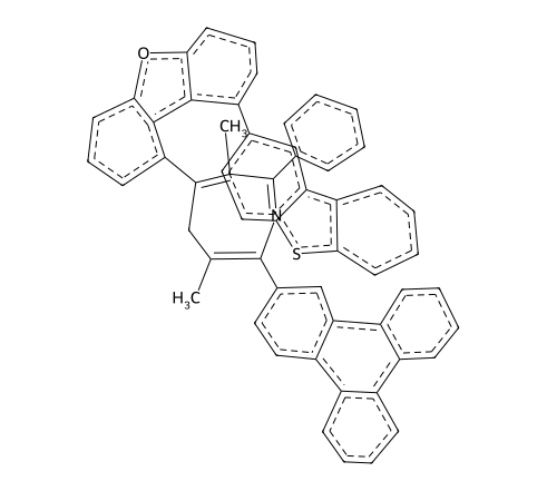 CC1=C(c2ccc3c4ccccc4c4ccccc4c3c2)N=C(c2ccccc2)C(C)=C(c2cccc3oc4cccc(-c5ccc6sc7ccccc7c6c5)c4c23)C1